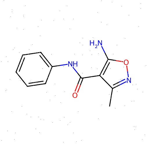 Cc1noc(N)c1C(=O)Nc1ccccc1